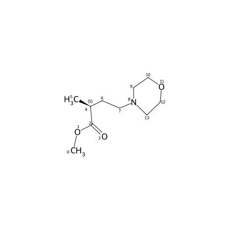 COC(=O)[C@@H](C)CCN1CCOCC1